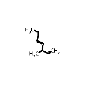 C=CC(C)C=CCC